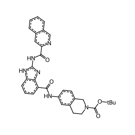 CC(C)(C)OC(=O)N1CCc2cc(NC(=O)c3cccc4[nH]c(NC(=O)c5cc6ccccc6cn5)nc34)ccc2C1